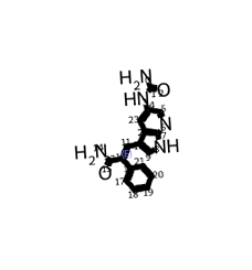 NC(=O)Nc1cnc2[nH]cc(/C=C(/C(N)=O)c3ccccc3)c2c1